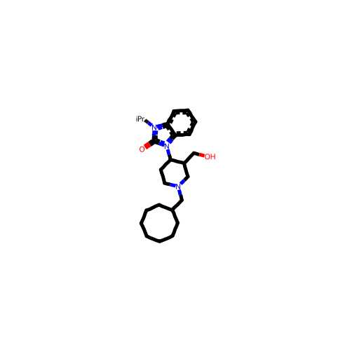 CC(C)n1c(=O)n(C2CCN(CC3CCCCCCC3)CC2CO)c2ccccc21